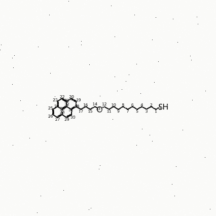 SCCCCCCCCCCCCOCCCCc1ccc2ccc3cccc4ccc1c2c34